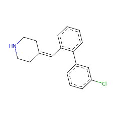 Clc1cccc(-c2ccccc2C=C2CCNCC2)c1